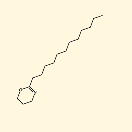 CCCCCCCCCCCCC1=NCCCO1